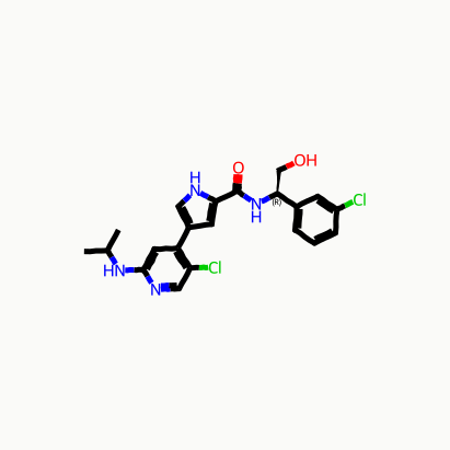 CC(C)Nc1cc(-c2c[nH]c(C(=O)N[C@@H](CO)c3cccc(Cl)c3)c2)c(Cl)cn1